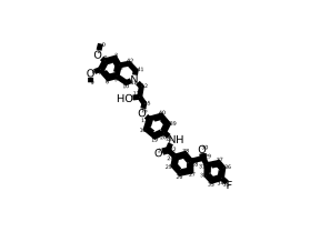 COc1cc2c(cc1OC)CN(CC(O)COc1ccc(NC(=O)c3cccc(C(=O)c4ccc(F)cc4)c3)cc1)CC2